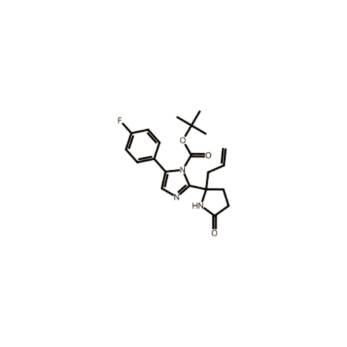 C=CCC1(c2ncc(-c3ccc(F)cc3)n2C(=O)OC(C)(C)C)CCC(=O)N1